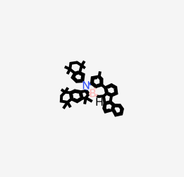 Cc1cc2c3c(c1)N(c1ccc4c(c1)C(C)(C)CCC4(C)C)C1=C(B3C[C@H]3c4ccc5ccccc5c4-c4cccc-2c43)C(C)(C)c2cc3c(cc21)C(C)(C)CCC3(C)C